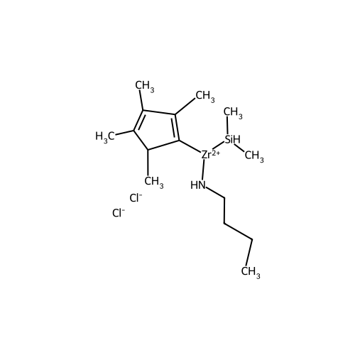 CCCC[NH][Zr+2]([C]1=C(C)C(C)=C(C)C1C)[SiH](C)C.[Cl-].[Cl-]